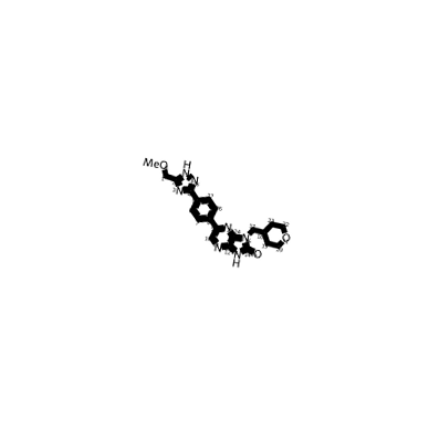 COCc1nc(-c2ccc(-c3cnc4[nH]c(=O)n(CC5CCOCC5)c4n3)cc2)n[nH]1